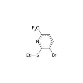 CCSc1nc(C(F)(F)F)ccc1Br